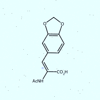 CC(=O)N/C(=C/c1ccc2c(c1)OCO2)C(=O)O